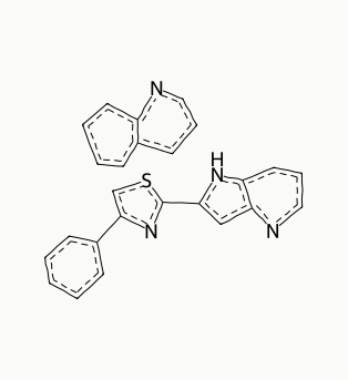 c1ccc(-c2csc(-c3cc4ncccc4[nH]3)n2)cc1.c1ccc2ncccc2c1